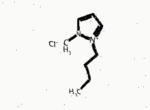 CCCC[n+]1cccn1C.[Cl-]